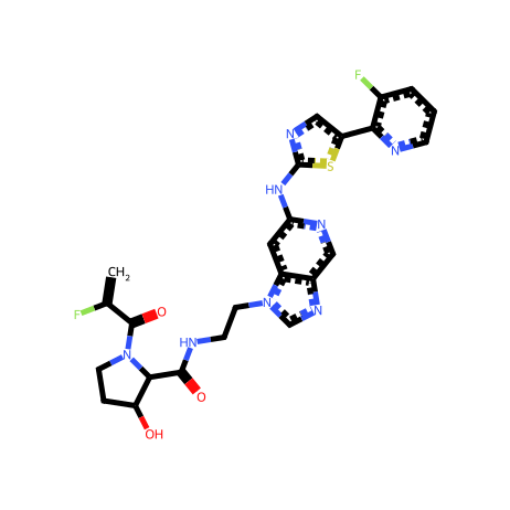 C=C(F)C(=O)N1CCC(O)C1C(=O)NCCn1cnc2cnc(Nc3ncc(-c4ncccc4F)s3)cc21